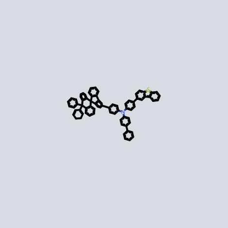 C1=CC(C2(c3ccccc3)c3ccccc3C3(c4ccccc4-c4cc(-c5ccc(N(c6ccc(-c7ccccc7)cc6)c6ccc(-c7ccc8sc9ccccc9c8c7)cc6)cc5)ccc43)c3ccccc32)=CCC1